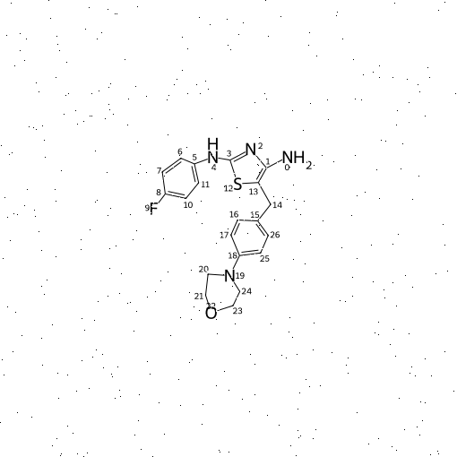 Nc1nc(Nc2ccc(F)cc2)sc1Cc1ccc(N2CCOCC2)cc1